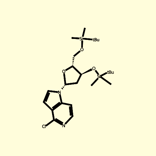 CC(C)(C)[Si](C)(C)OC[C@H]1O[C@@H](n2ccc3c(Cl)nccc32)C[C@@H]1O[Si](C)(C)C(C)(C)C